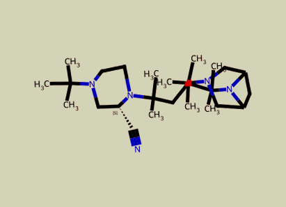 CC(C)(C)N1CC2CC(C1)N2C(C)(C)CCC(C)(C)N1CCN(C(C)(C)C)C[C@H]1C#N